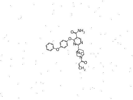 C=CC(=O)N1CC2CCC1CN2c1ncc(C(N)=O)c(Oc2ccc(Oc3ccccc3)cc2)n1